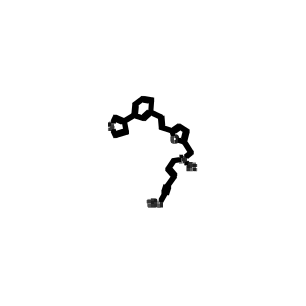 CCN(C/C=C/C#CC(C)(C)C)Cc1ccc(/C=C/c2cccc(-c3ccsc3)c2)o1